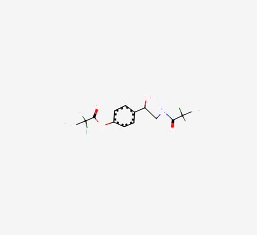 O=C(NCC(O)c1ccc(OC(=O)C(F)(F)C(F)(F)F)cc1)C(F)(F)C(F)(F)F